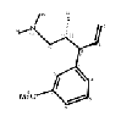 C=C[C@@H](c1cccc(OC)c1)[C@@H](C)CN(C)C